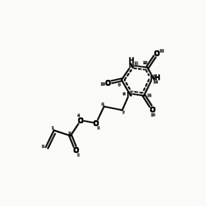 C=CC(=O)OOCCn1c(=O)[nH]c(=O)[nH]c1=O